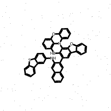 B1c2cccc3c2N(c2ccccc2O3)c2c1c(-c1cc3ccccc3cc1Nc1ccc3sc4ccccc4c3c1)cc1c2oc2ccccc21